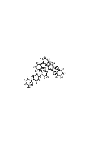 c1ccc(-c2ccc(-c3ccc4c(c3)C3(c5ccccc5-c5ccccc53)c3ccc5c(c3-4)Oc3ccccc3O5)cc2)nc1